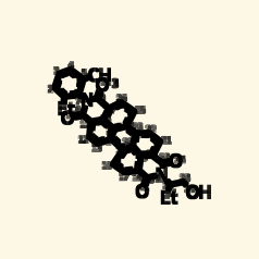 CCc1cccc(C)c1N1C(=O)c2ccc3c4ccc5c6c(ccc(c7ccc(c2c37)C1=O)c64)C(=O)N(C(CC)CO)C5=O